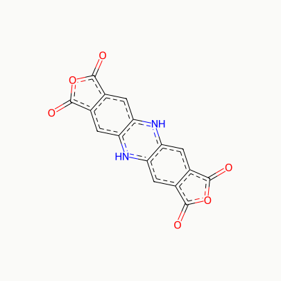 O=c1oc(=O)c2cc3[nH]c4cc5c(=O)oc(=O)c5cc4[nH]c3cc12